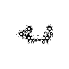 Cc1cc(C)c(C(=O)P(=O)(C(=O)c2c(C)cc(C)c(C(=O)CCNCCC(=O)c3c(C)cc(C)c(C(=O)[PH](=O)c4ccccc4)c3C)c2C)c2ccccc2)c(C)c1